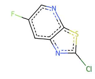 Fc1cnc2sc(Cl)nc2c1